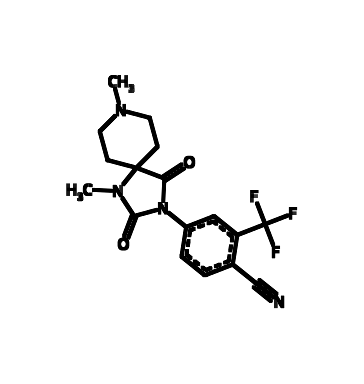 CN1CCC2(CC1)C(=O)N(c1ccc(C#N)c(C(F)(F)F)c1)C(=O)N2C